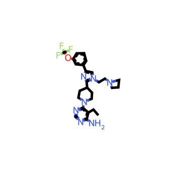 CCc1c(N)ncnc1N1CCC(c2nc(-c3cccc(OC(F)(F)F)c3)cn2CCN2CCC2)CC1